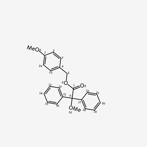 COc1ccc(COC(=O)C(OC)(c2ccccc2)c2ccccc2)cc1